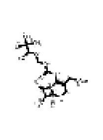 CCC(C)(C)C(=O)OCOC(=O)OC1=C(COC)CS[C@H]2C(N)C(=O)N12